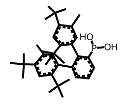 Cc1cc(-c2cccc(P(O)O)c2-c2cc(C)c(C(C)(C)C)cc2C(C)(C)C)c(C(C)(C)C)cc1C(C)(C)C